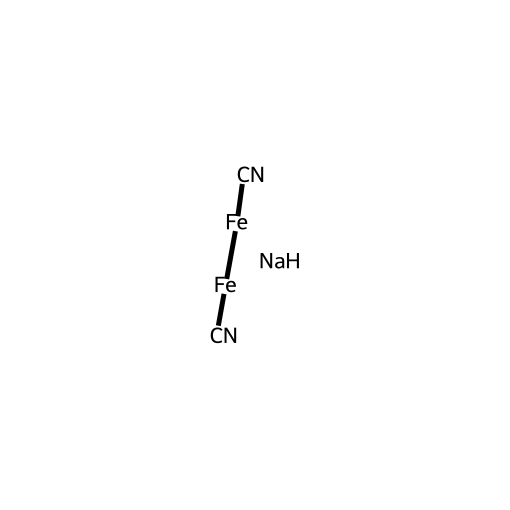 N#[C][Fe][Fe][C]#N.[NaH]